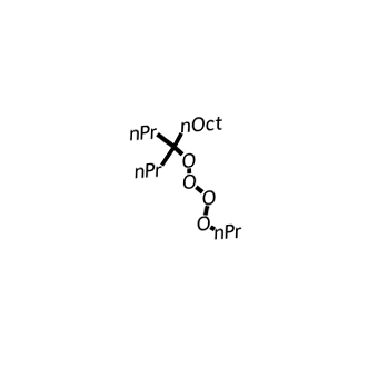 CCCCCCCCC(CCC)(CCC)OOOOCCC